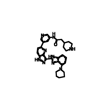 O=C(CC1CCNCC1)Nc1cncc(-c2ccc3[nH]nc(-c4nc5c(N6CCCCC6)cccc5[nH]4)c3n2)c1